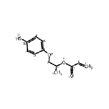 C=CC(=O)OC(C)COc1ccc(S)cc1